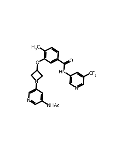 CC(=O)Nc1cncc(N2CC(Oc3cc(C(=O)Nc4cncc(C(F)(F)F)c4)ccc3C)C2)c1